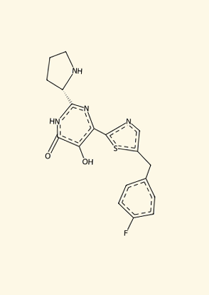 O=c1[nH]c([C@@H]2CCCN2)nc(-c2ncc(Cc3ccc(F)cc3)s2)c1O